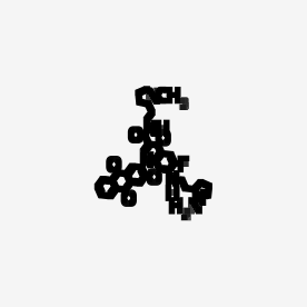 CN1CCCC1CCNC(=O)c1cn2c3cc4c(=O)c5ccccc5c(=O)c4cc3oc3c(NCCC4CCCN4N)c(F)cc(c1=O)c32